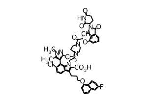 Cc1nn(C)c(C)c1-c1c(Cl)ccc2c(CCCOc3cccc4cc(F)ccc34)c(C(=O)O)n(CCN3CCN(C(=O)[C@H](C)Oc4cccc5c4CN(C4CCC(=O)NC4=O)C5=O)CC3)c12